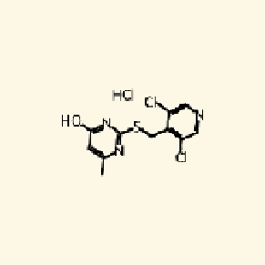 Cc1cc(O)nc(SCc2c(Cl)cncc2Cl)n1.Cl